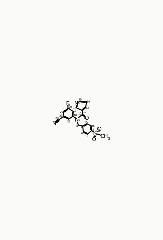 CS(=O)(=O)c1ccc(CN(C(=O)c2cccnc2)c2cc(F)cc(C#N)c2)cc1